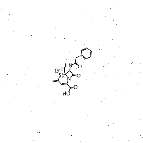 C=C1C=C(C(=O)O)N2C(=O)C(NC(=O)Cc3ccccc3)[C@H]2[S+]1[O-]